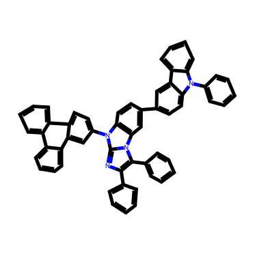 c1ccc(-c2nc3n(-c4ccc5c6ccccc6c6ccccc6c5c4)c4ccc(-c5ccc6c(c5)c5ccccc5n6-c5ccccc5)cc4n3c2-c2ccccc2)cc1